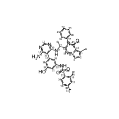 Cc1ccn2nc(C(C)Nc3ncnc(N)c3-c3cc(O)cc(NS(=O)(=O)c4ccc(F)cc4F)c3)n(-c3ccccc3)c(=O)c12